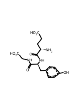 N[C@@H](CCC(=O)O)C(=O)N[C@@H](Cc1ccc(O)cc1)C(=O)NCC(=O)O